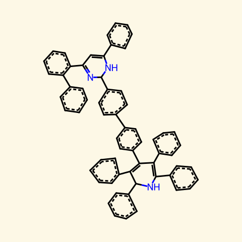 C1=C(c2ccccc2)NC(c2ccc(-c3ccc(C4=C(c5ccccc5)C(c5ccccc5)NC(c5ccccc5)=C4c4ccccc4)cc3)cc2)N=C1c1ccccc1-c1ccccc1